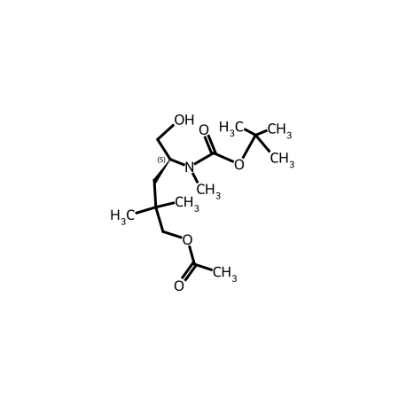 CC(=O)OCC(C)(C)C[C@@H](CO)N(C)C(=O)OC(C)(C)C